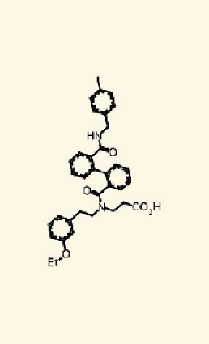 CCOc1cccc(CCN(CCC(=O)O)C(=O)c2ccccc2-c2ccccc2C(=O)NCc2ccc(C)cc2)c1